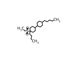 CCCCCC1CCC(C2CCC(CCCC)(S(=O)(=O)CC)CC2)CC1